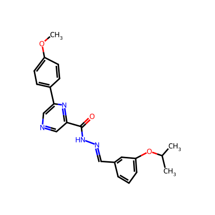 COc1ccc(-c2cncc(C(=O)NN=Cc3cccc(OC(C)C)c3)n2)cc1